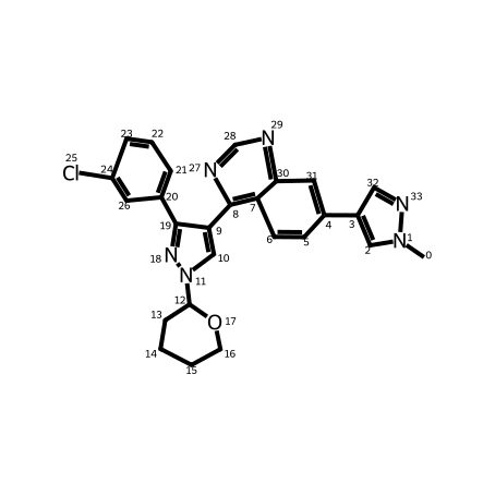 Cn1cc(-c2ccc3c(-c4cn(C5CCCCO5)nc4-c4cccc(Cl)c4)ncnc3c2)cn1